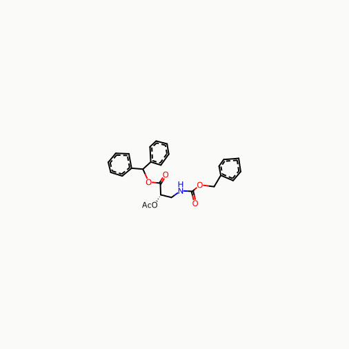 CC(=O)O[C@@H](CNC(=O)OCc1ccccc1)C(=O)OC(c1ccccc1)c1ccccc1